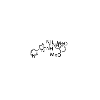 COc1cccc(OC)c1CNC(=N)Nc1nc(-c2cccnc2)cs1